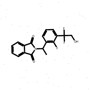 CC(c1cccc(C(F)(F)CO)c1F)N1C(=O)c2ccccc2C1=O